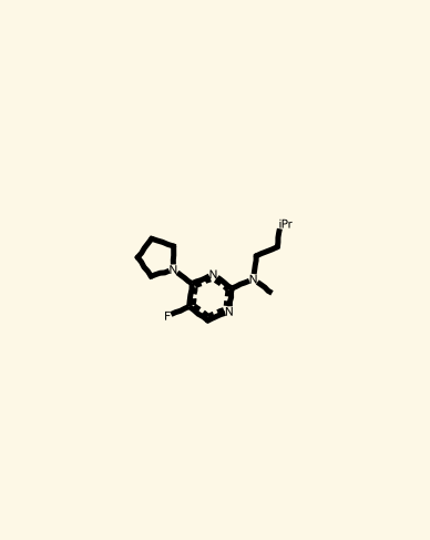 CC(C)CCN(C)c1ncc(F)c(N2CCCC2)n1